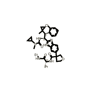 CCNC(=O)[C@H](NC(=O)C1(c2ccc3nc([C@@H](NC(=O)N(C)C4CC4)[C@H](c4ccccc4Cl)C4(C)CC4)[nH]c3c2)CCOC1)C(C)C